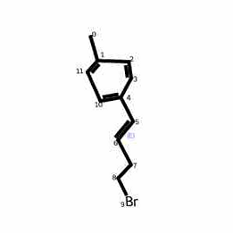 Cc1ccc(/C=C/CCBr)cc1